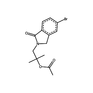 CC(=O)OC(C)(C)CN1Cc2cc(Br)ccc2C1=O